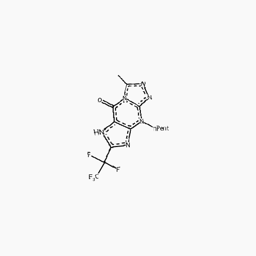 CCCCCn1c2nc(C(F)(F)C(F)(F)F)[nH]c2c(=O)n2c(C)nnc12